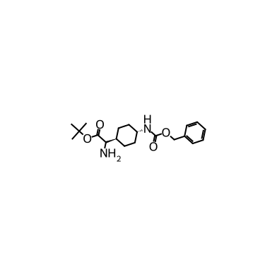 CC(C)(C)OC(=O)C(N)[C@H]1CC[C@H](NC(=O)OCc2ccccc2)CC1